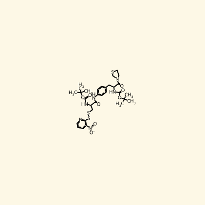 CC(C)(C)OC(=O)NC(CSSc1ncccc1[N+](=O)[O-])C(=O)Nc1ccc(CC(NC(=O)OC(C)(C)C)C(=O)N2CCSC2)cc1